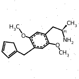 COc1cc(C[C@@H](C)N)c(OC)cc1CC1=CC=CC1